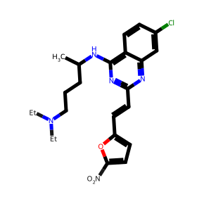 CCN(CC)CCCC(C)Nc1nc(/C=C/c2ccc([N+](=O)[O-])o2)nc2cc(Cl)ccc12